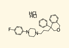 Cl.Cl.Fc1ccc(N2CCN(CCCC3(c4ccccc4)COCc4ccccc43)CC2)cc1